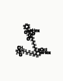 C=C1C=CC(=O)N1CCCCCCCCC1CCC(CCCCCC)C(CCCCCCCC)C1CCCCCCCCN1C(=O)CC(N(CCCCCC)C(=O)c2ccccc2)C1=O